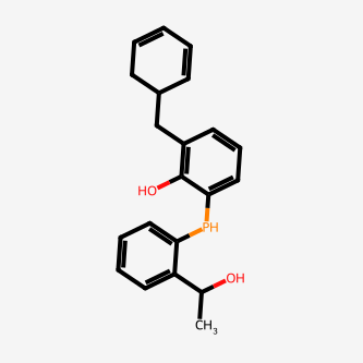 CC(O)c1ccccc1Pc1cccc(CC2C=CC=CC2)c1O